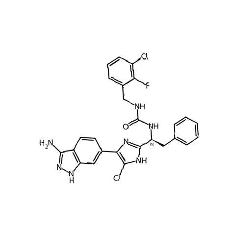 Nc1n[nH]c2cc(-c3nc([C@H](Cc4ccccc4)NC(=O)NCc4cccc(Cl)c4F)[nH]c3Cl)ccc12